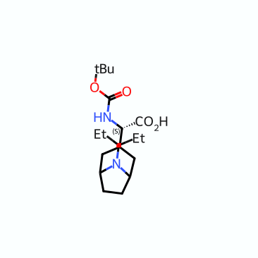 CCC(CC)N1C2CCC1CC([C@H](NC(=O)OC(C)(C)C)C(=O)O)C2